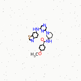 COc1ccc(C(=O)N[C@@H]2CCCN(c3cncc(Nc4ccc5ncsc5c4)n3)C2)cc1